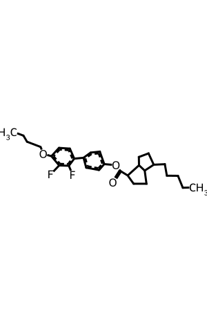 CCCCCC1CCC2C(C(=O)Oc3ccc(-c4ccc(OCCCC)c(F)c4F)cc3)CCC12